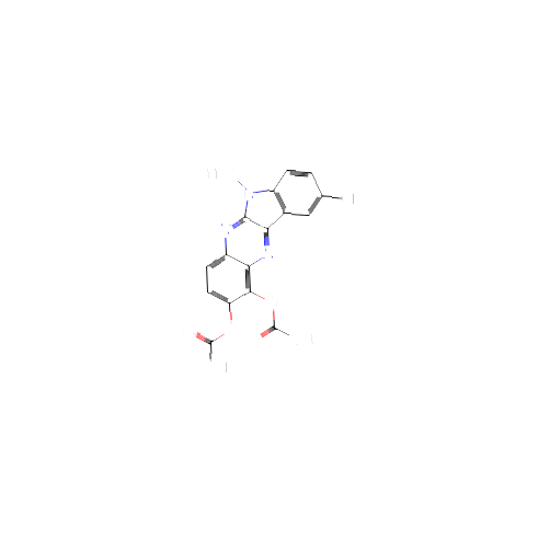 CC(=O)Oc1ccc2nc3c(nc2c1OC(C)=O)c1cc(C)ccc1n3C